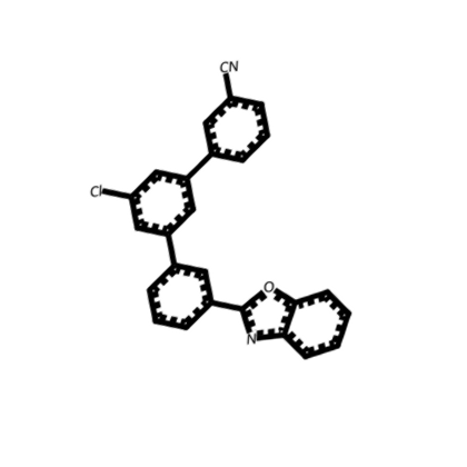 N#Cc1cccc(-c2cc(Cl)cc(-c3cccc(-c4nc5ccccc5o4)c3)c2)c1